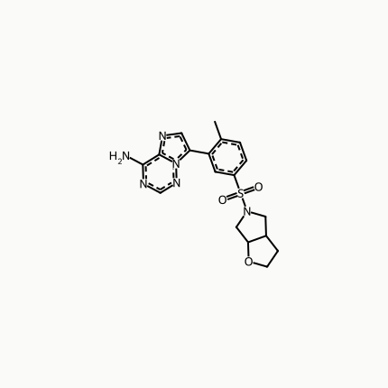 Cc1ccc(S(=O)(=O)N2CC3CCOC3C2)cc1-c1cnc2c(N)ncnn12